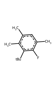 Cc1cc(C)c(F)c(C(C)(C)C)c1C